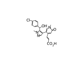 Cn1ncc(-c2cn(C)c(=O)cc2/C=C/C(=O)O)c1C(O)c1ccc(Cl)cc1